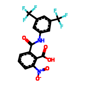 O=C(Nc1cc(C(F)(F)F)cc(C(F)(F)F)c1)c1cccc([N+](=O)[O-])c1C(=O)O